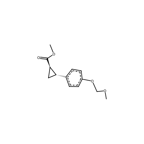 COCOc1ccc([C@@H]2C[C@H]2C(=O)OC)cc1